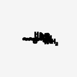 CCCCCCCCC(=O)NCCC[C@@H](COCC)n1cnc2c(N)nc3ccccc3c21